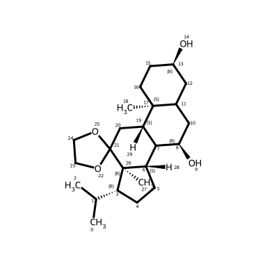 CC(C)[C@H]1CC[C@H]2C3[C@H](O)CC4C[C@H](O)CC[C@]4(C)[C@H]3CC3(OCCO3)[C@]12C